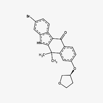 CC1(C)c2cc(O[C@H]3CCOC3)ccc2C(=O)c2c1[nH]c1cc(Br)ccc21